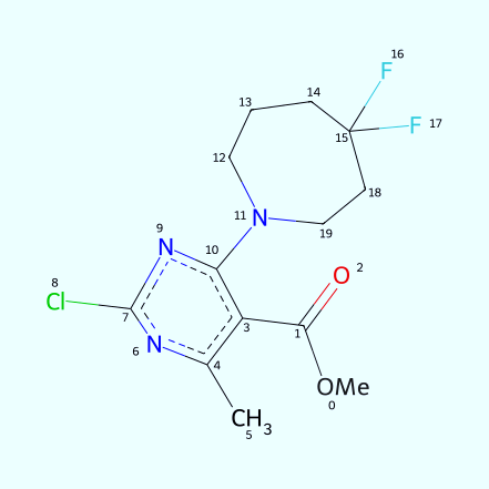 COC(=O)c1c(C)nc(Cl)nc1N1CCCC(F)(F)CC1